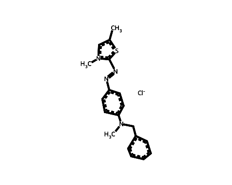 Cc1c[n+](C)c(/N=N/c2ccc(N(C)Cc3ccccc3)cc2)s1.[Cl-]